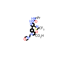 CCCNC(=O)Nc1cc(C2=NC(C(F)(F)F)CS2)c(-c2ccc3c(c2)c(=O)c(C(=O)O)cn3CCN2CCOCC2)cn1